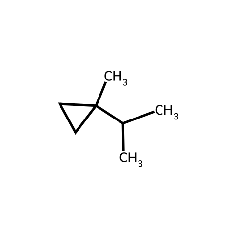 CC(C)C1(C)CC1